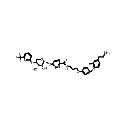 NCCc1ccc(Oc2ccc(OCCCNC(=O)c3ccc(OC[C@H]4OC[C@H](Oc5cccc(C(F)(F)F)n5)[C@@H](O)[C@H]4O)nn3)cc2)c(I)c1